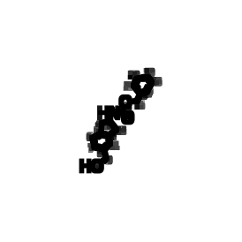 O=C(N[C@@H]1Cc2ccc(CO)cc2C1)OCc1ccccc1